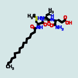 CCCCCCCCCCCCCCCC(=O)N[C@@H](CSC)C(=O)N[C@@H](CC)C(=O)N[C@H](CCC(=O)O)C(N)=O